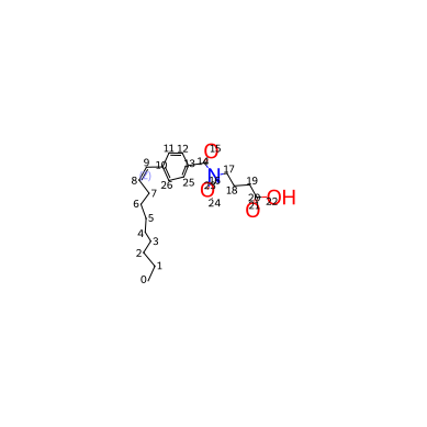 CCCCCCCC/C=C\c1ccc(C(=O)N(CCCC(=O)O)OC)cc1